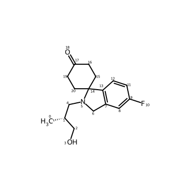 C[C@@H](CO)CN1Cc2cc(F)ccc2C12CCC(=O)CC2